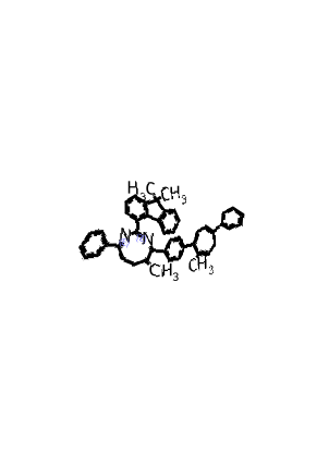 CC1=CCC(c2ccccc2)=CC=C1c1ccc(C2/N=C(c3cccc4c3-c3ccccc3C4(C)C)\N=C(\c3ccccc3)CCC2C)cc1